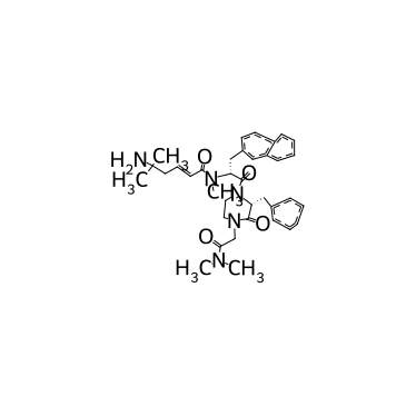 CN(C)C(=O)CN1CCN(C(=O)[C@@H](Cc2ccc3ccccc3c2)N(C)C(=O)C=CCC(C)(C)N)[C@H](Cc2ccccc2)C1=O